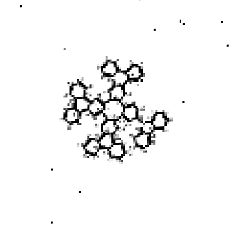 c1ccc2c(c1)c1ccccc1c1cc3c(cc21)-c1ccc(-n2c4ccccc4c4ccccc42)cc1-c1cc2c4ccccc4c4ccccc4c2cc1-c1cc2c4ccccc4c4ccccc4c2cc1-3